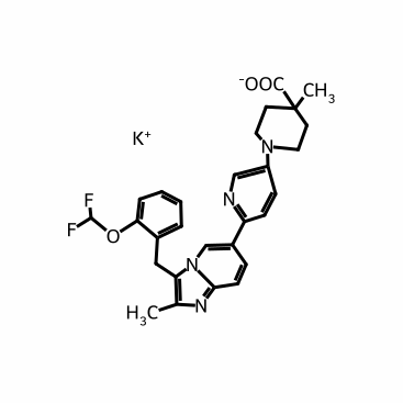 Cc1nc2ccc(-c3ccc(N4CCC(C)(C(=O)[O-])CC4)cn3)cn2c1Cc1ccccc1OC(F)F.[K+]